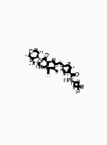 Cc1c(Cc2ccc(C(=O)NC3CC(F)(F)C3)cc2)cc2c(=O)n([C@H]3CCOC[C@@H]3O)cnc2c1C